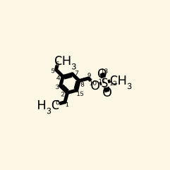 CCc1cc(CC)cc(COS(C)(=O)=O)c1